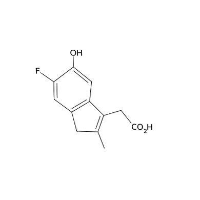 CC1=C(CC(=O)O)c2cc(O)c(F)cc2C1